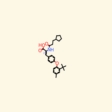 Cc1ccc(Oc2ccc(/C=C(\NC(=O)CCC3CCCC3)C(=O)O)cc2)c(C(C)(C)C)c1